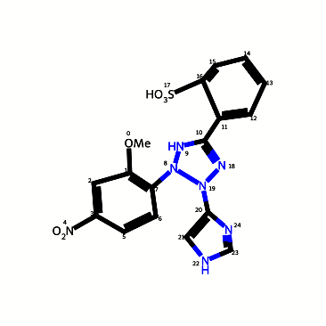 COc1cc([N+](=O)[O-])ccc1N1NC(c2ccccc2S(=O)(=O)O)=NN1c1c[nH]cn1